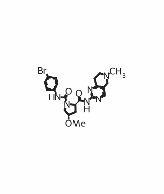 CO[C@@H]1C[C@H](C(=O)Nc2ncc3c(n2)CCN(C)C3)N(C(=O)Nc2ccc(Br)cc2)C1